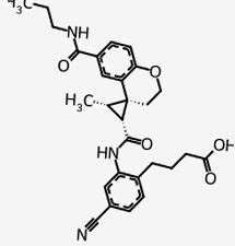 CCCNC(=O)c1ccc2c(c1)[C@@]1(CCO2)[C@H](C(=O)Nc2cc(C#N)ccc2CCCC(=O)O)[C@@H]1C